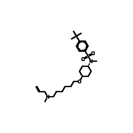 C=CCN(C)CCCCCCO[C@H]1CC[C@H](N(C)S(=O)(=O)c2ccc(C(C)(C)C)cc2)CC1